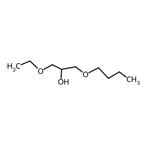 [CH2]COCC(O)COCCCC